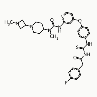 CN1CC(N2CCC(N(C)C(=O)Nc3cc(Oc4ccc(NC(=S)NC(=O)Cc5ccc(F)cc5)cc4)ccn3)CC2)C1